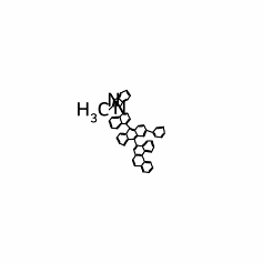 CCc1nc2ccccc2n1-c1ccc(-c2c3ccccc3c(-c3cc4ccc5ccccc5c4c4ccccc34)c3cc(-c4ccccc4)ccc23)c2ccccc12